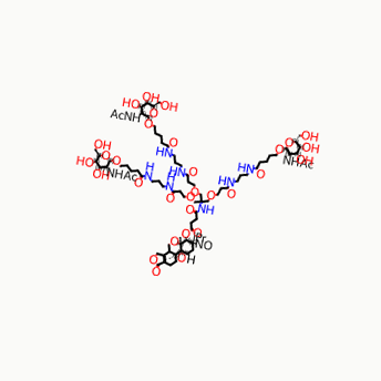 CC(=O)N[C@H]1[C@H](OCCCCC(=O)NCCCNC(=O)CCOCC(COCCC(=O)NCCCNC(=O)CCCCO[C@@H]2O[C@H](CO)[C@H](O)[C@H](O)[C@H]2NC(C)=O)(COCCC(=O)NCCCNC(=O)CCCCO[C@@H]2O[C@H](CO)[C@H](O)[C@H](O)[C@H]2NC(C)=O)NC(=O)CCC(=O)O[C@@H]2[C@](N=O)(C(C)C)C[C@@H]3O[C@@]34[C@@]3(C)CCC5=C(COC5=O)C3CO[C@]24C)O[C@H](CO)[C@H](O)[C@@H]1O